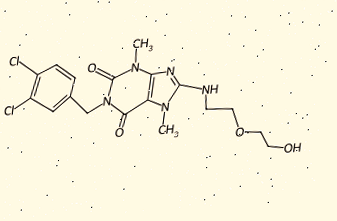 Cn1c(NCCOCCO)nc2c1c(=O)n(Cc1ccc(Cl)c(Cl)c1)c(=O)n2C